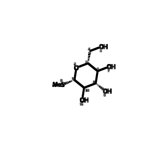 CS[C@@H]1O[C@H](CO)C(O)[C@H](O)C1O